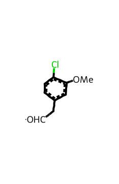 COc1cc(C[C]=O)ccc1Cl